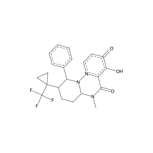 CN1C(=O)c2c(O)c(=O)ccn2N2C(c3ccccc3)C(C3(C(F)(F)F)CC3)CCC12